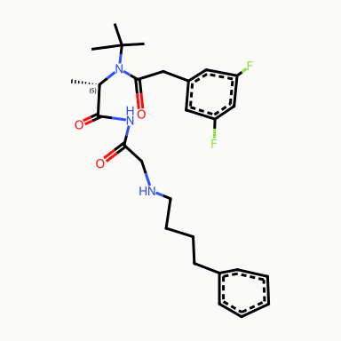 C[C@@H](C(=O)NC(=O)CNCCCCc1ccccc1)N(C(=O)Cc1cc(F)cc(F)c1)C(C)(C)C